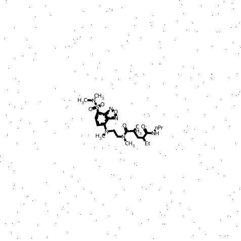 CCCNC(=O)C(CC)CC(C)C(=O)N(C)CCN(C)c1ccc(S(=O)(=O)N(C)C)c2nonc12